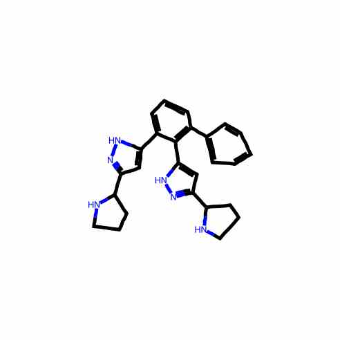 c1ccc(-c2cccc(-c3cc(C4CCCN4)n[nH]3)c2-c2cc(C3CCCN3)n[nH]2)cc1